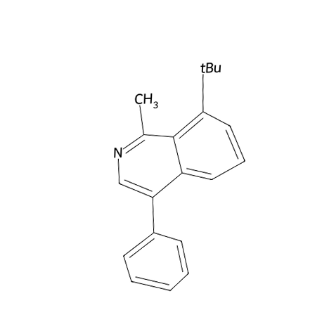 Cc1ncc(-c2ccccc2)c2cccc(C(C)(C)C)c12